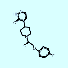 O=C(COc1ccc(F)cc1)N1CCC(c2ccn[nH]c2=O)CC1